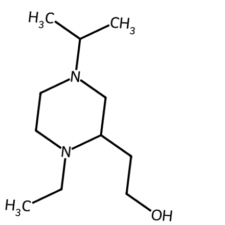 CCN1CCN(C(C)C)CC1CCO